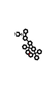 c1ccc(C(c2ccccc2)(c2ccccc2)c2ccc3c(c2)C(c2ccccc2)(c2ccccc2)c2cc(-c4ccc5c(c4)c4ccccc4n5-c4ccncc4)ccc2-3)cc1